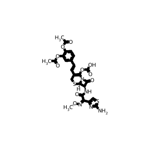 CO/N=C(\C(=O)N[C@@H]1C(=O)N2C(OC(=O)O)=C(C=Cc3ccc(OC(C)=O)c(OC(C)=O)c3)CS[C@H]12)c1csc(N)n1